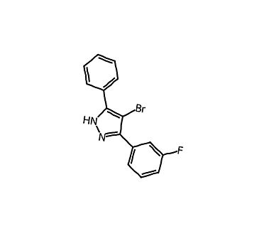 Fc1cccc(-c2n[nH]c(-c3ccccc3)c2Br)c1